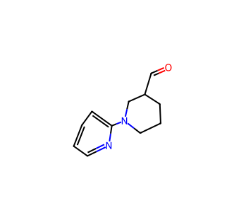 O=CC1CCCN(c2ccccn2)C1